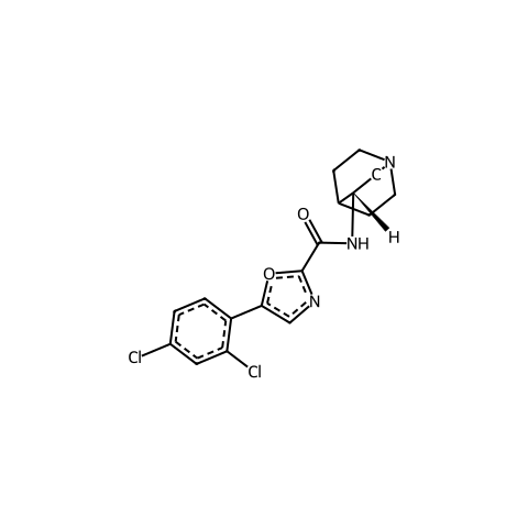 O=C(N[C@H]1CN2CCC1CC2)c1ncc(-c2ccc(Cl)cc2Cl)o1